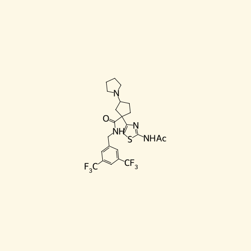 CC(=O)Nc1nc(C2(C(=O)NCc3cc(C(F)(F)F)cc(C(F)(F)F)c3)CCC(N3CCCC3)C2)cs1